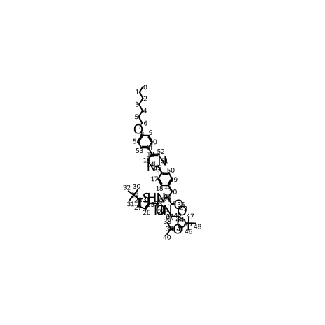 CCCCCCCOc1ccc(-c2cnc(-c3ccc(C[C@H](NC(=O)c4ccc(C(C)(C)C)s4)C(=O)N[C@@H](CC(C)=O)C(=O)OC(C)(C)C)cc3)nc2)cc1